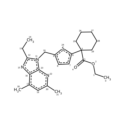 CCOC(=O)C1(c2ccc(Cn3c(CC)nc4c(C)cc(C)nc43)s2)CCCCC1